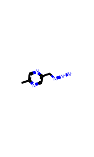 Cc1cnc(CN=[N+]=[N-])cn1